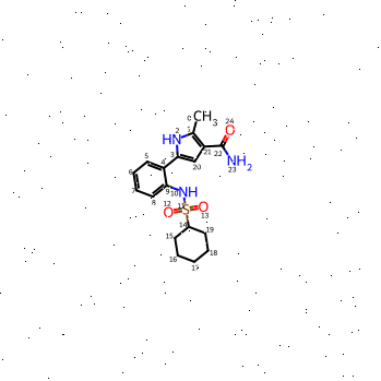 Cc1[nH]c(-c2ccccc2NS(=O)(=O)C2CCCCC2)cc1C(N)=O